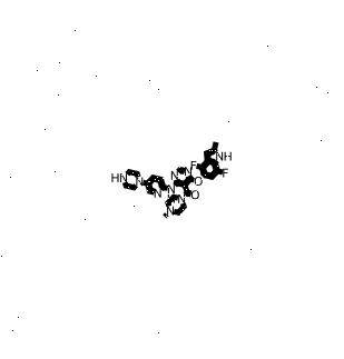 Cc1cc2c(F)c(Oc3ncnc(Nc4ccc(N5CCNCC5)cn4)c3C(=O)N3CCN(C)CC3)cc(F)c2[nH]1